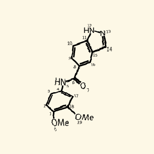 COc1ccc(NC(=O)c2ccc3[nH]ncc3c2)cc1OC